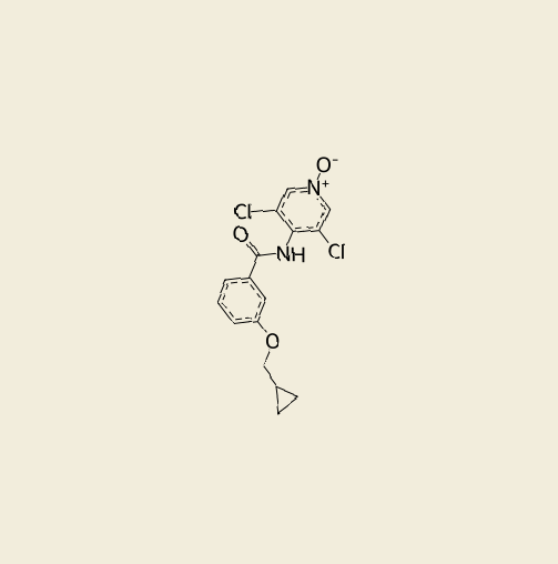 O=C(Nc1c(Cl)c[n+]([O-])cc1Cl)c1cccc(OCC2CC2)c1